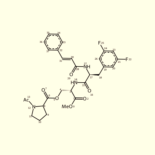 COC(=O)[C@H](COC(=O)C1CCCN1C(C)=O)NC(=O)[C@H](Cc1cc(F)cc(F)c1)NC(=O)/C=C/c1ccccc1